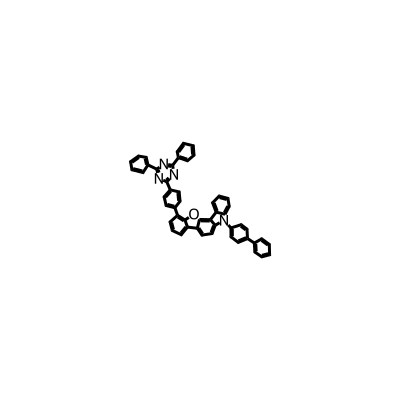 c1ccc(-c2ccc(-n3c4ccccc4c4c5oc6c(-c7ccc(-c8nc(-c9ccccc9)nc(-c9ccccc9)n8)cc7)cccc6c5ccc43)cc2)cc1